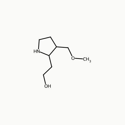 COCC1CCNC1CCO